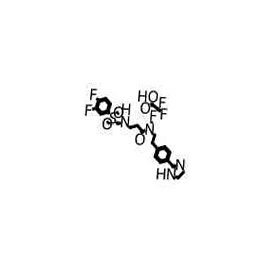 CN(CCc1ccc(C2=NCCN2)cc1)C(=O)CCNCS(=O)(=O)c1ccc(F)c(F)c1.O=C(O)C(F)(F)F